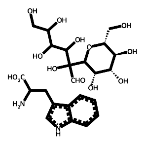 NC(Cc1c[nH]c2ccccc12)C(=O)O.O=CC(O)(C(O)C(O)C(O)CO)C1O[C@H](CO)[C@@H](O)[C@H](O)[C@@H]1O